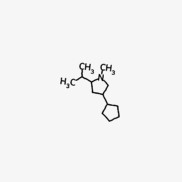 CC(C)C1CC(C2CCCC2)CN1C